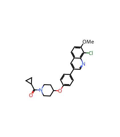 COc1ccc2cc(-c3ccc(OC4CCN(C(=O)C5CC5)CC4)cc3)cnc2c1Cl